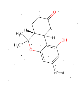 CC1(C)Oc2cc(CCCC[13CH3])cc(O)c2[C@@H]2CC(=O)CC[C@H]21